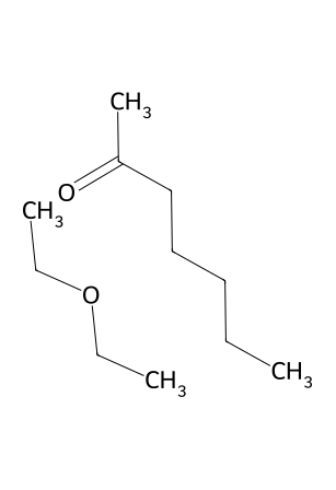 CCCCCC(C)=O.CCOCC